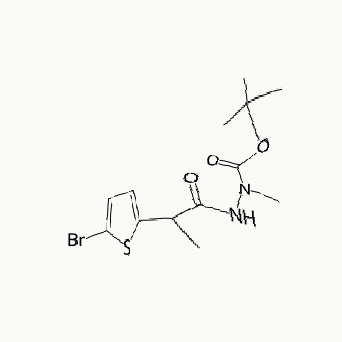 CC(C(=O)NN(C)C(=O)OC(C)(C)C)c1ccc(Br)s1